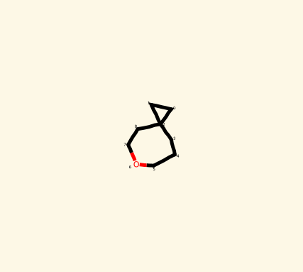 [CH]1CC12CCCOCC2